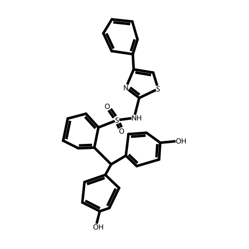 O=S(=O)(Nc1nc(-c2ccccc2)cs1)c1ccccc1C(c1ccc(O)cc1)c1ccc(O)cc1